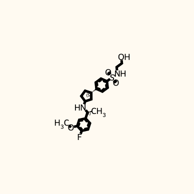 COc1cc([C@@H](C)NC2CC[C@H](c3ccc(S(=O)(=O)NCCO)cc3)C2)ccc1F